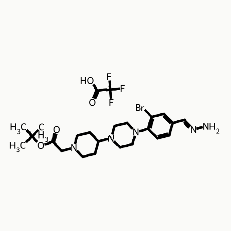 CC(C)(C)OC(=O)CN1CCC(N2CCN(c3ccc(C=NN)cc3Br)CC2)CC1.O=C(O)C(F)(F)F